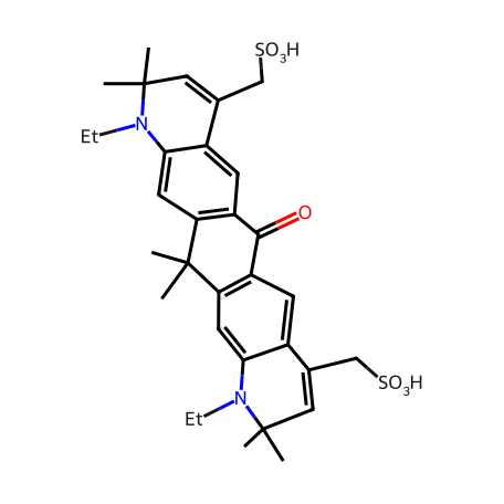 CCN1c2cc3c(cc2C(CS(=O)(=O)O)=CC1(C)C)C(=O)c1cc2c(cc1C3(C)C)N(CC)C(C)(C)C=C2CS(=O)(=O)O